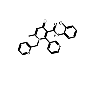 Cc1cc(=O)c(C(=O)Nc2ccccc2Cl)c(-c2cccnc2)n1Cc1ccccn1